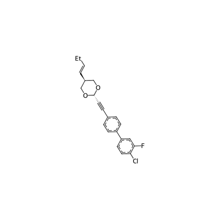 CCC=C[C@H]1CO[C@H](C#Cc2ccc(-c3ccc(Cl)c(F)c3)cc2)OC1